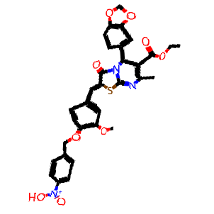 CCOC(=O)C1=C(C)N=c2s/c(=C\c3ccc(OCc4ccc([N+](=O)O)cc4)c(OC)c3)c(=O)n2C1c1ccc2c(c1)OCO2